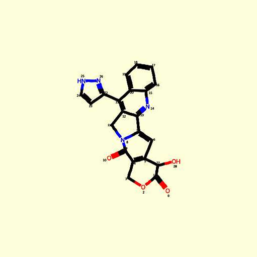 O=C1OCc2c(cc3n(c2=O)Cc2c-3nc3ccccc3c2-c2cc[nH]n2)C1O